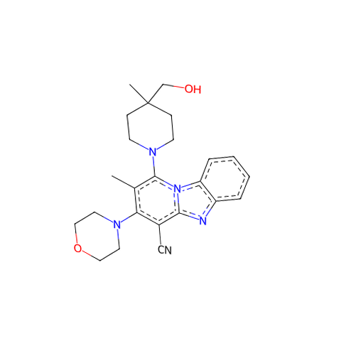 Cc1c(N2CCOCC2)c(C#N)c2nc3ccccc3n2c1N1CCC(C)(CO)CC1